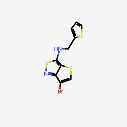 Brc1csc2c(NCc3cccs3)snc12